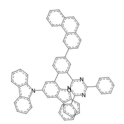 c1ccc(-c2nc(-c3ccccc3)nc(-c3cc(-c4ccc5ccc6ccccc6c5c4)ccc3-c3cc(-n4c5ccccc5c5ccccc54)cc4c3oc3ccccc34)n2)cc1